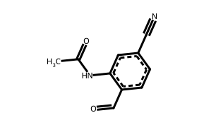 CC(=O)Nc1cc(C#N)ccc1C=O